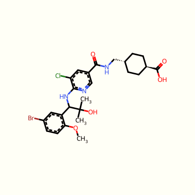 COc1ccc(Br)cc1C(Nc1ncc(C(=O)NC[C@H]2CC[C@H](C(=O)O)CC2)cc1Cl)C(C)(C)O